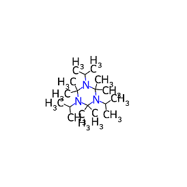 CC(C)N1C(C)(C)N(C(C)C)C(C)(C)N(C(C)C)C1(C)C